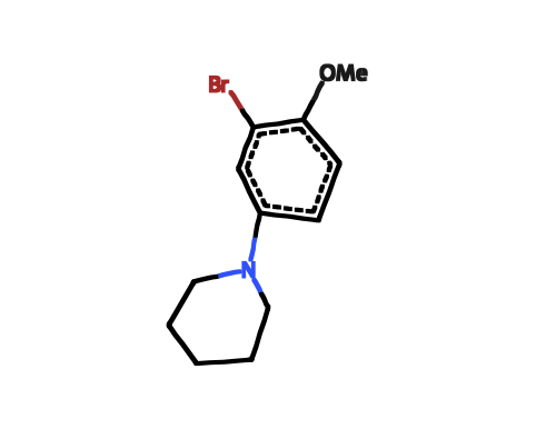 COc1ccc(N2CCCCC2)cc1Br